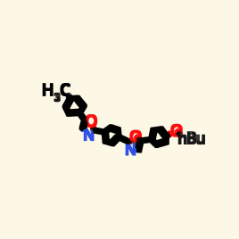 CCCCOc1ccc(-c2cnc(-c3ccc(-c4ncc(-c5ccc(C)cc5)o4)cc3)o2)cc1